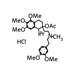 COc1ccc(CCN(C)CC[C@@]2(OC(C)=O)CCc3c(cc(OC)c(OC)c3OC)[C@@H]2C(C)C)cc1OC.Cl